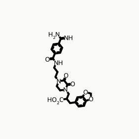 N=C(N)c1ccc(C(=O)NCCCN2CCN(CC(Cc3ccc4c(c3)OCO4)C(=O)O)C(=O)C2=O)cc1